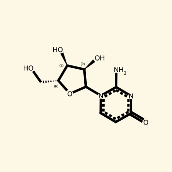 Nc1nc(=O)ccn1C1O[C@H](CO)[C@@H](O)[C@H]1O